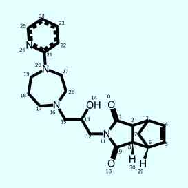 O=C1C2C3C=C[C@@H](C3)[C@@H]2C(=O)N1CC(O)CN1CCCN(c2ccccn2)CC1